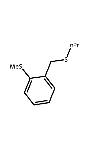 CCCSCc1ccccc1SC